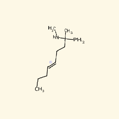 CCC/C=C/CCC(C)(P)NC